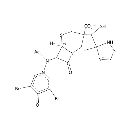 CC(=O)N(C1C(=O)N2CC(C(=O)O)(C(S)C3(C)N=CSN3)CS[C@H]12)n1cc(Br)c(=O)c(Br)c1